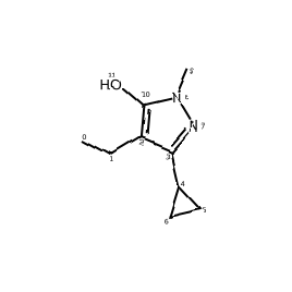 CCc1c(C2CC2)nn(C)c1O